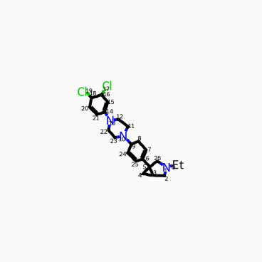 CCN1CC2CC2(C2=CCC(N3CCN(C4=CC(Cl)C(Cl)C=C4)CC3)C=C2)C1